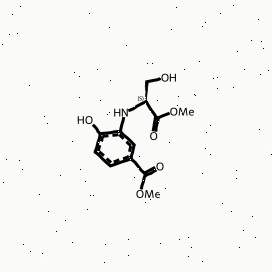 COC(=O)c1ccc(O)c(N[C@@H](CO)C(=O)OC)c1